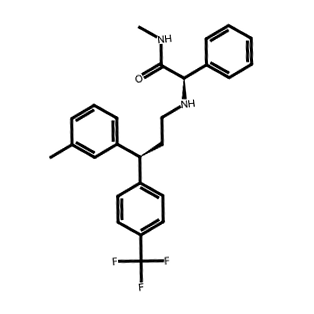 CNC(=O)[C@H](NCC[C@@H](c1ccc(C(F)(F)F)cc1)c1cccc(C)c1)c1ccccc1